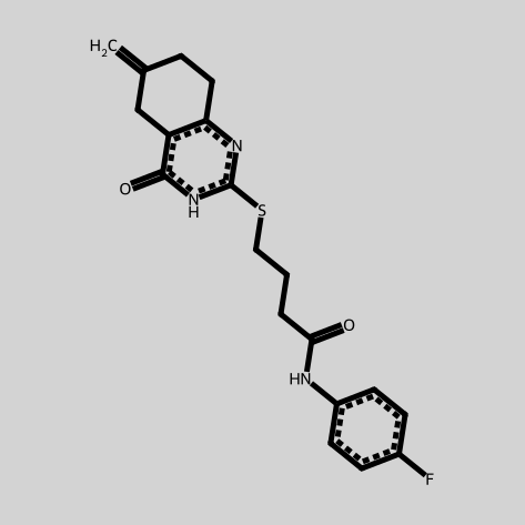 C=C1CCc2nc(SCCCC(=O)Nc3ccc(F)cc3)[nH]c(=O)c2C1